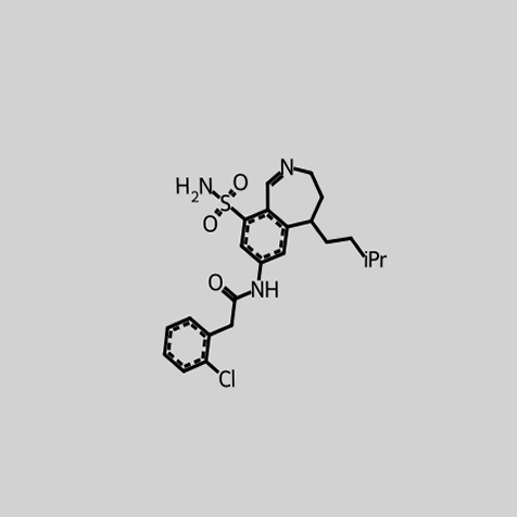 CC(C)CCC1CCN=Cc2c1cc(NC(=O)Cc1ccccc1Cl)cc2S(N)(=O)=O